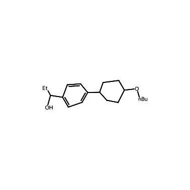 CCCCOC1CCC(c2ccc(C(O)CC)cc2)CC1